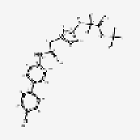 CC(C)(C)OC(=O)C(C)(C)Sc1nc(CC(=O)Nc2ccc(-c3ccc(Cl)cc3)cn2)cs1